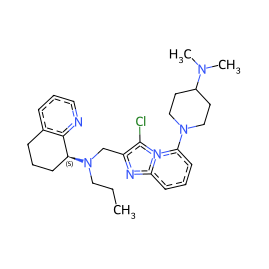 CCCN(Cc1nc2cccc(N3CCC(N(C)C)CC3)n2c1Cl)[C@H]1CCCc2cccnc21